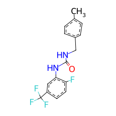 Cc1ccc(CNC(=O)Nc2cc(C(F)(F)F)ccc2F)cc1